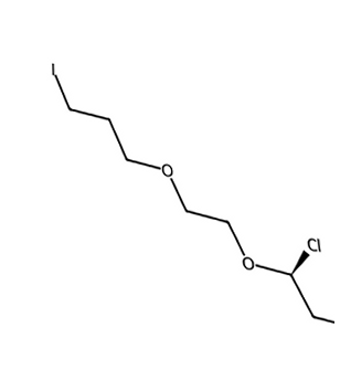 CC[C@H](Cl)OCCOCCCI